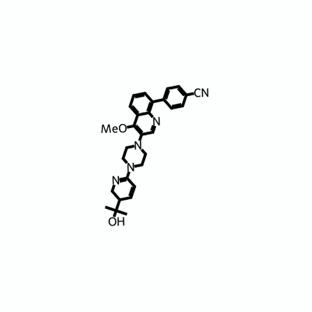 COc1c(N2CCN(C3=NCC(C(C)(C)O)C=C3)CC2)cnc2c(-c3ccc(C#N)cc3)cccc12